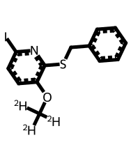 [2H]C([2H])([2H])Oc1ccc(I)nc1SCc1ccccc1